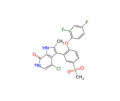 Cc1[nH]c2c(=O)[nH]cc(Cl)c2c1-c1cc(S(C)(=O)=O)ccc1Oc1ccc(F)cc1F